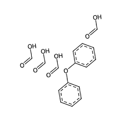 O=CO.O=CO.O=CO.O=CO.c1ccc(Oc2ccccc2)cc1